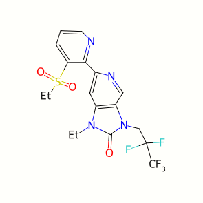 CCn1c(=O)n(CC(F)(F)C(F)(F)F)c2cnc(-c3ncccc3S(=O)(=O)CC)cc21